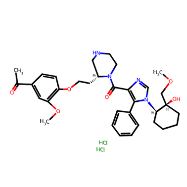 COC[C@]1(O)CCCC[C@H]1n1cnc(C(=O)N2CCNC[C@H]2CCOc2ccc(C(C)=O)cc2OC)c1-c1ccccc1.Cl.Cl